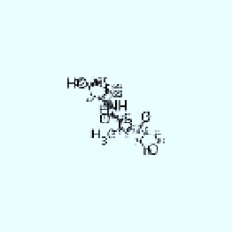 Cc1cc(C(=O)C2CCOCC2)sc1C(=O)N[C@H]1C2CC3CC1C[C@](O)(C3)C2